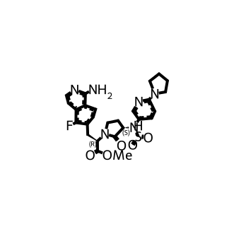 COC(=O)[C@@H](Cc1ccc2c(N)nccc2c1F)N1CC[C@H](N(c2ccc(N3CCCC3)nc2)[SH](=O)=O)C1=O